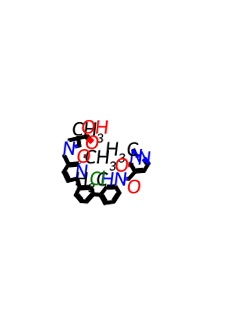 COc1nc(-c2cccc(-c3cccc(NC(=O)c4ccnn(C)c4=O)c3C)c2Cl)ccc1CN1CC(C)(C(=O)O)C1